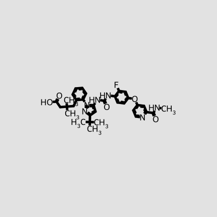 CNC(=O)c1cc(Oc2ccc(NC(=O)Nc3cc(C(C)(C)C)nn3-c3ccccc3CC(C)(C)CC(=O)O)c(F)c2)ccn1